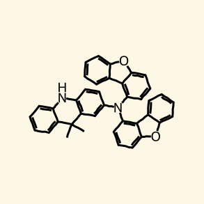 CC1(C)c2ccccc2Nc2ccc(N(c3cccc4oc5ccccc5c34)c3cccc4oc5ccccc5c34)cc21